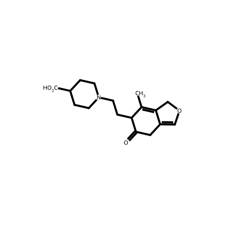 CC1=C2COC=C2CC(=O)C1CCN1CCC(C(=O)O)CC1